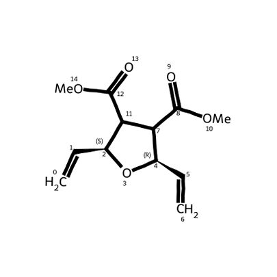 C=C[C@@H]1O[C@H](C=C)C(C(=O)OC)C1C(=O)OC